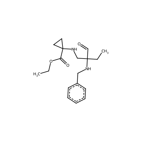 CCOC(=O)C1(NCC(C=O)(CC)NCc2ccccc2)CC1